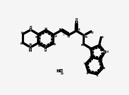 Cc1oc2ccccc2c1CN(C)C(=O)/C=C/c1cnc2c(c1)OCCN2.Cl